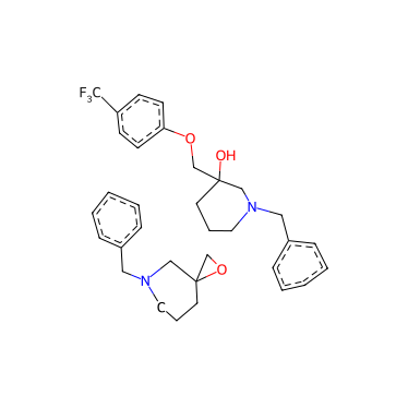 OC1(COc2ccc(C(F)(F)F)cc2)CCCN(Cc2ccccc2)C1.c1ccc(CN2CCCC3(CO3)C2)cc1